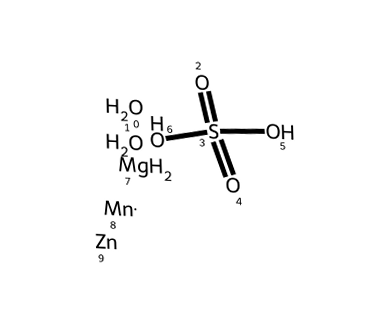 O.O.O=S(=O)(O)O.[MgH2].[Mn].[Zn]